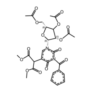 COC(=O)C(C(=O)OC)c1cn([C@@H]2O[C@H](COC(C)=O)C(OC(C)=O)[C@@H]2OC(C)=O)c(=O)n(C(=O)c2ccccc2)c1=O